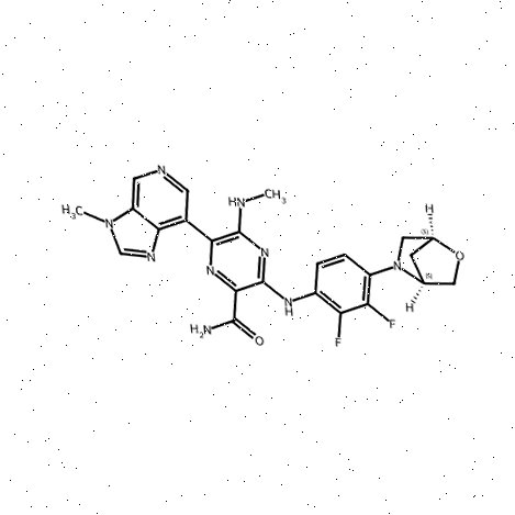 CNc1nc(Nc2ccc(N3C[C@@H]4C[C@H]3CO4)c(F)c2F)c(C(N)=O)nc1-c1cncc2c1ncn2C